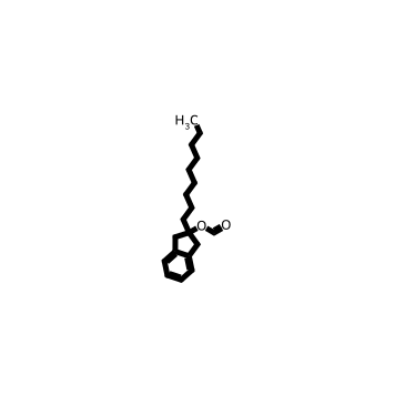 CCCCCCCCCC1(OC=O)Cc2ccccc2C1